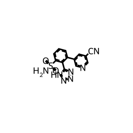 N#Cc1cncc(-c2cccc(S(N)(=O)=O)c2-c2nnn[nH]2)c1